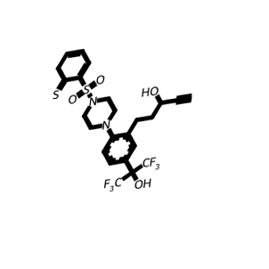 C#CC(O)CCc1cc(C(O)(C(F)(F)F)C(F)(F)F)ccc1N1CCN(S(=O)(=O)C2=CC=CCC2=S)CC1